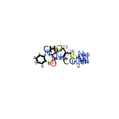 O=CN(c1ccccc1F)C1C(=O)N2C(C(=O)O)=C(CSc3nnn[nH]3)CS[C@H]12